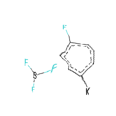 FB(F)F.Fc1cc[c]([K])cc1